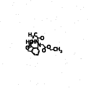 CCOC(=O)CN(NC(C)=O)c1cccc2c1B(O)OC2